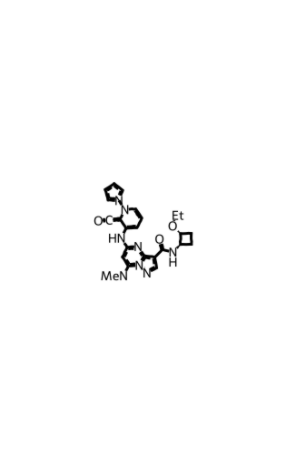 CCO[C@@H]1CC[C@H]1NC(=O)c1cnn2c(NC)cc(NC3=CC=CN(n4cccc4)C3=C=O)nc12